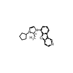 C[C@@H]1N(c2cccc3c2oc2ccncc23)C=CN1C1CCCC1